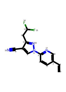 C=Cc1ccc(-n2cc(C#N)c(CC(F)F)n2)nc1